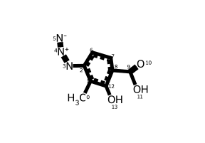 Cc1c(N=[N+]=[N-])ccc(C(=O)O)c1O